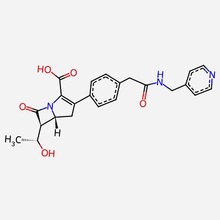 C[C@@H](O)[C@H]1C(=O)N2C(C(=O)O)=C(c3ccc(CC(=O)NCc4ccncc4)cc3)C[C@H]12